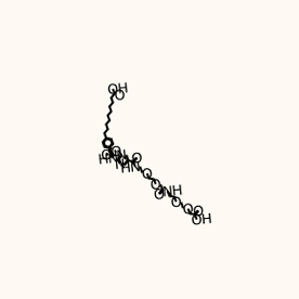 O=C(O)CCCCCCCCCc1ccc(S(=O)(=O)Nc2ncc(C(=O)NCCOCCOCC(=O)NCCOCCOCC(=O)O)cn2)cc1